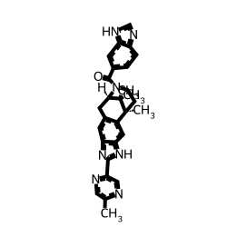 Cc1cnc(-c2nc3cc4c(cc3[nH]2)[C@]2(C)CCN(C(=O)c3ccc5nc[nH]c5c3)[C@H](C4)C2(C)C)cn1